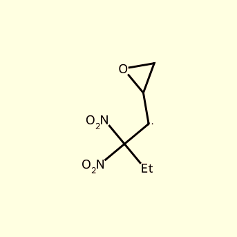 CCC([CH]C1CO1)([N+](=O)[O-])[N+](=O)[O-]